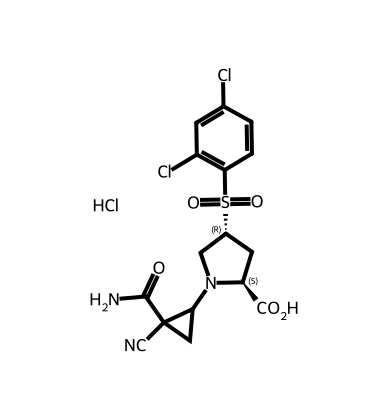 Cl.N#CC1(C(N)=O)CC1N1C[C@H](S(=O)(=O)c2ccc(Cl)cc2Cl)C[C@H]1C(=O)O